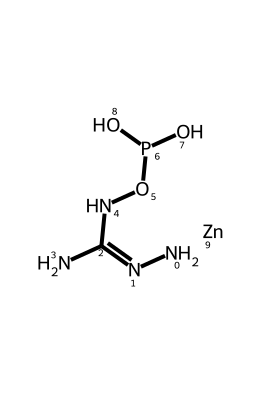 NN=C(N)NOP(O)O.[Zn]